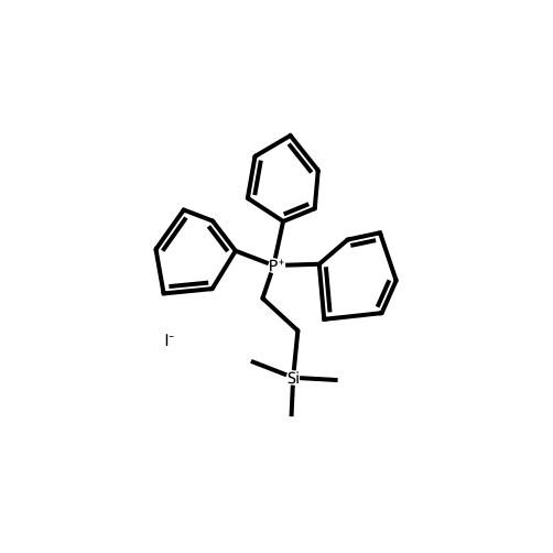 C[Si](C)(C)CC[P+](c1ccccc1)(c1ccccc1)c1ccccc1.[I-]